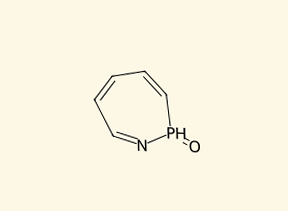 O=[PH]1C=CC=CC=N1